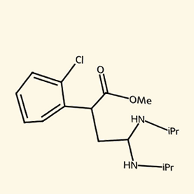 COC(=O)C(CC(NC(C)C)NC(C)C)c1ccccc1Cl